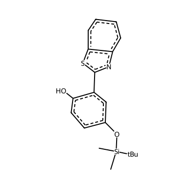 CC(C)(C)[Si](C)(C)Oc1ccc(O)c(-c2nc3ccccc3s2)c1